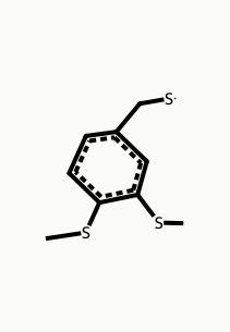 CSc1ccc(C[S])cc1SC